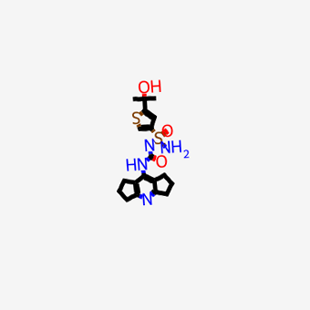 CC(C)(O)c1cc(S(N)(=O)=NC(=O)Nc2c3c(nc4c2CCC4)CCC3)cs1